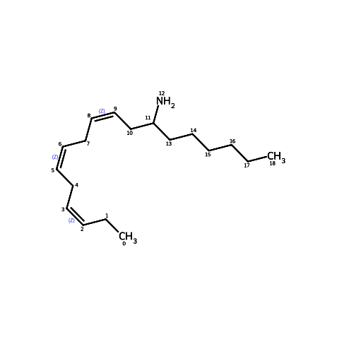 CC/C=C\C/C=C\C/C=C\CC(N)CCCCCC